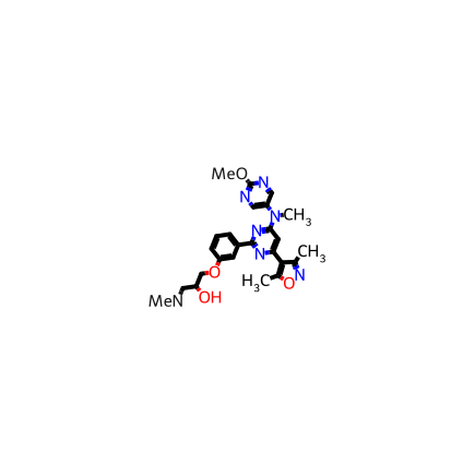 CNCC(O)COc1cccc(-c2nc(-c3c(C)noc3C)cc(N(C)c3cnc(OC)nc3)n2)c1